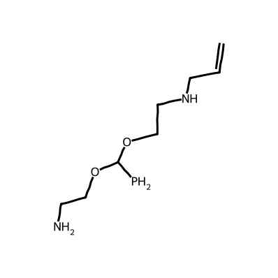 C=CCNCCOC(P)OCCN